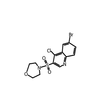 O=S(=O)(c1cnc2ccc(Br)cc2c1Cl)N1CCOCC1